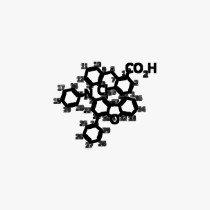 O=C(O)c1cccc(Cl)c1Cc1cccc(N(c2ccccc2)c2cc(-c3ccccc3)c3oc4ccccc4c3c2)c1